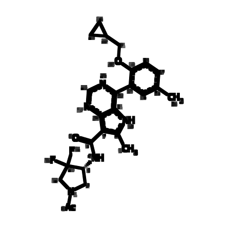 CC(=O)N1C[C@@H](NC(=O)c2c(C)[nH]c3c(-c4cc(C)ccc4OCC4CC4)ncnc23)C(F)(F)C1